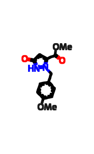 COC(=O)c1cc(=O)[nH]n1Cc1ccc(OC)cc1